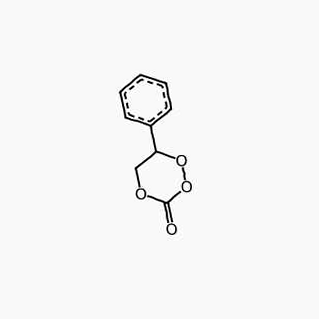 O=C1OCC(c2ccccc2)OO1